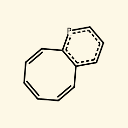 C1=CC=Cc2pcccc2C=C1